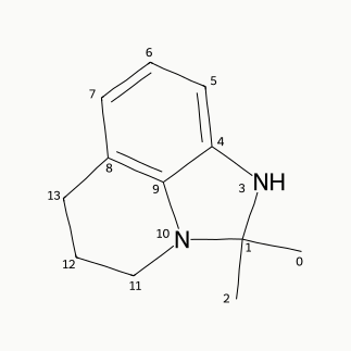 CC1(C)Nc2cccc3c2N1CCC3